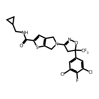 O=C(NCC1CC1)c1cc2c(s1)CN(C1=NOC(c3cc(Cl)c(F)c(Cl)c3)(C(F)(F)F)C1)C2